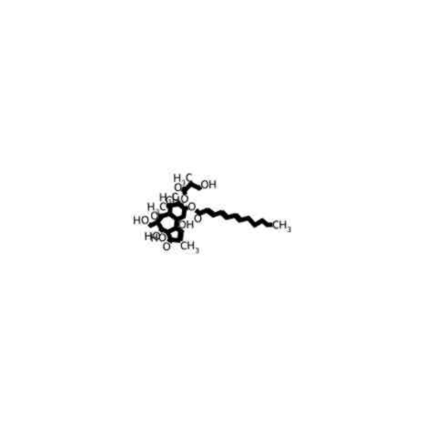 CCCCC/C=C/C=C/C=C/C(=O)OC1CC2(O)C3C=C(C)C(=O)C3(O)C(O)C3(CO)OC3C2C(C)(C)C1(C)OC(=O)C(C)CO